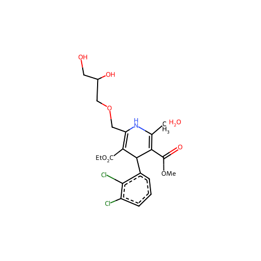 CCOC(=O)C1=C(COCC(O)CO)NC(C)=C(C(=O)OC)C1c1cccc(Cl)c1Cl.O